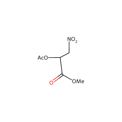 COC(=O)C(C[N+](=O)[O-])OC(C)=O